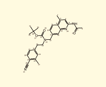 CC(=O)Nc1cc(C)c2ccc(CN(CCc3ccc(C#N)c(C)c3)C(=O)OC(C)(C)C)cc2n1